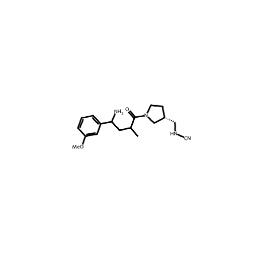 COc1cccc(C(N)CC(C)C(=O)N2CC[C@H](CNC#N)C2)c1